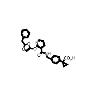 O=C(NCc1ccc(C2(C(=O)O)CC2)cc1)c1cccnc1OC1=COC(Cc2ccccc2)O1